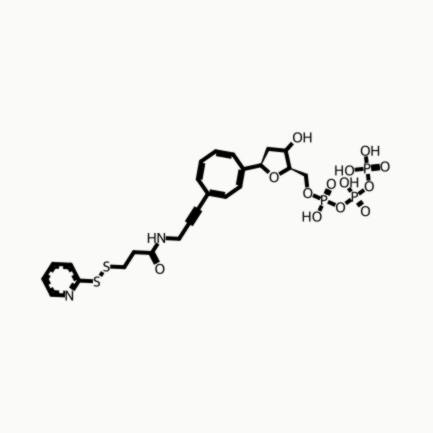 O=C(CCSSc1ccccn1)NCC#CC1=C/C=C([C@H]2CC(O)[C@@H](COP(=O)(O)OP(=O)(O)OP(=O)(O)O)O2)\C=C/C=C\1